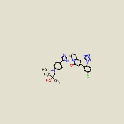 CC(C)(O)CN(C(=O)O)c1ccc(-c2cnc([C@@H]3CCc4cc(-c5cc(Cl)ccc5-n5cnnn5)cc(=O)n43)[nH]2)cc1